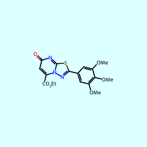 CCOC(=O)c1cc(=O)nc2sc(-c3cc(OC)c(OC)c(OC)c3)nn12